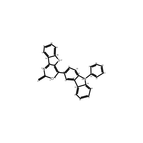 C=C(Cl)/N=C1\C(=C(/C)c2ccc3c(c2)c2ccccc2n3-c2ccccc2)Sc2ccccc21